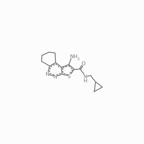 Nc1c(C(=O)NCC2CC2)sc2nnc3c(c12)CCCC3